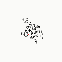 CCOC(=O)c1nc(Br)n2c1C(Nc1cc(Cl)ccc1C)C1=CC=C(C#N)C(C)C1=C2C